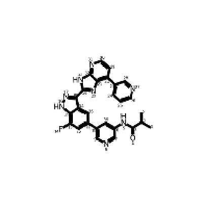 CC(C)C(=O)Nc1cncc(-c2cc(F)c3[nH]nc(-c4nc5c(-c6cccnc6)ccnc5[nH]4)c3c2)c1